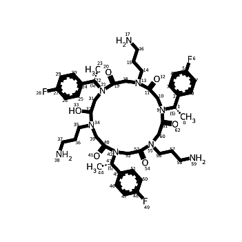 C[C@@H](c1ccc(F)cc1)N1CC(=O)N(CCCN)CC(=O)N([C@@H](C)c2ccc(F)cc2)CC(O)N(CCCN)CC(=O)N([C@@H](C)c2ccc(F)cc2)CC(=O)N(CCCN)CC1=O